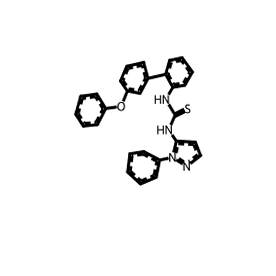 S=C(Nc1ccccc1-c1cccc(Oc2ccccc2)c1)Nc1ccnn1-c1ccccc1